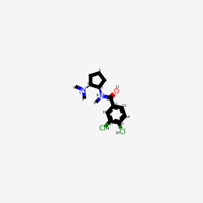 CN(C)[C@@H]1CCC[C@H]1N(C)C(=O)c1ccc(Cl)c(Cl)c1